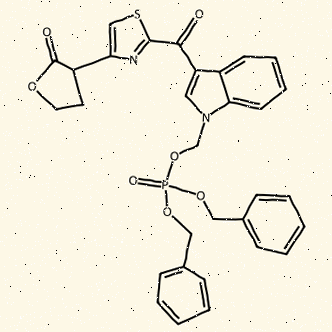 O=C(c1nc(C2CCOC2=O)cs1)c1cn(COP(=O)(OCc2ccccc2)OCc2ccccc2)c2ccccc12